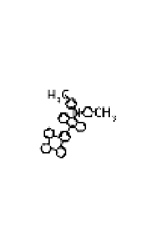 Cc1ccc(N(c2ccc(C)cc2)c2c3ccccc3c(-c3ccc4c(c3)-c3ccccc3-c3ccccc3-c3ccccc3-4)c3ccccc23)cc1